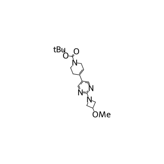 COC1CN(c2ncc(C3=CCN(C(=O)OC(C)(C)C)CC3)cn2)C1